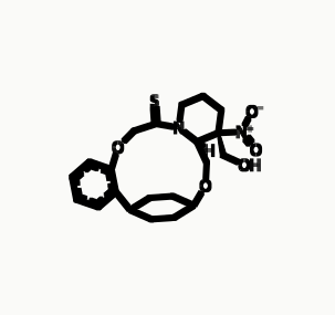 O=[N+]([O-])[C@@]1(CO)CCCN2C(=S)COc3ccccc3C3CCC(CC3)OC[C@H]21